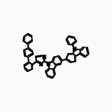 c1ccc(-c2ccc(-c3ccccc3-c3ccnc(-n4c5ccccc5c5cc(-c6ccc7c8ccccc8n(-c8ccccc8)c7c6)ccc54)n3)cc2)cc1